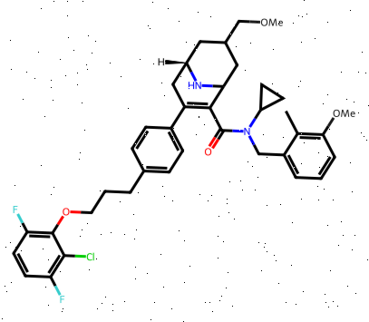 COCC1CC2N[C@H](CC(c3ccc(CCCOc4c(F)ccc(F)c4Cl)cc3)=C2C(=O)N(Cc2cccc(OC)c2C)C2CC2)C1